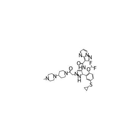 CN1CCN(C2CCN(C(=O)CN3C=C(NC(=O)c4cnn5cccnc45)C(c4cc(SC5CC5)ccc4OC(F)F)N3)CC2)CC1